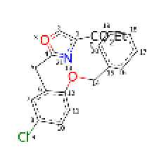 CCOC(=O)c1coc(Cc2cc(Cl)ccc2OCc2ccccc2)n1